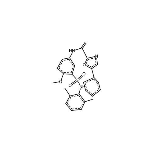 C=C(Nc1ccc(OC)c(S(=O)(=O)Nc2c(C)cccc2C)c1)c1ncc(-c2ccccc2)o1